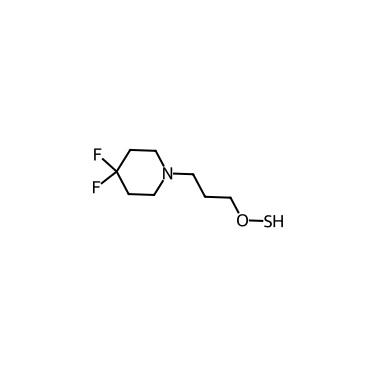 FC1(F)CCN(CCCOS)CC1